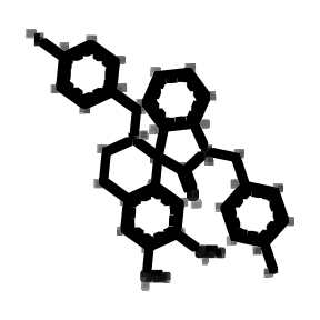 COc1cc2c(cc1OC)C1(C(=O)N(Cc3ccc(C)cc3)c3ccccc31)N(Cc1ccc(F)cc1)CC2